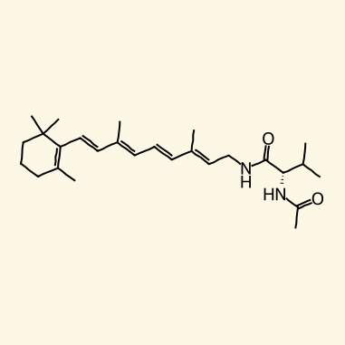 CC(=O)N[C@H](C(=O)NC/C=C(C)/C=C/C=C(C)/C=C/C1=C(C)CCCC1(C)C)C(C)C